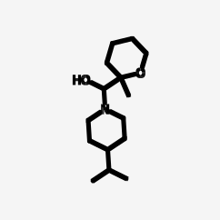 CC(C)C1CCN(C(O)C2(C)CCCCO2)CC1